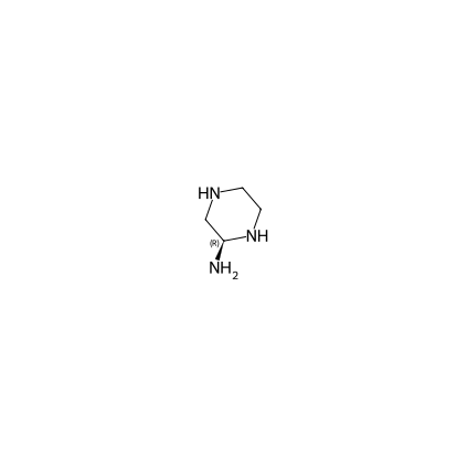 N[C@H]1CNCCN1